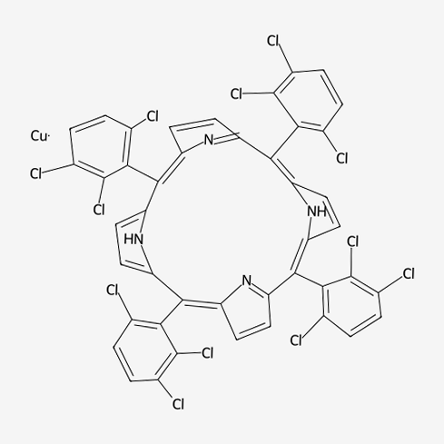 Clc1ccc(Cl)c(-c2c3nc(c(-c4c(Cl)ccc(Cl)c4Cl)c4ccc([nH]4)c(-c4c(Cl)ccc(Cl)c4Cl)c4nc(c(-c5c(Cl)ccc(Cl)c5Cl)c5ccc2[nH]5)C=C4)C=C3)c1Cl.[Cu]